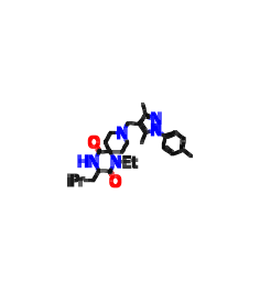 CCN1C(=O)C(CC(C)C)NC(=O)C12CCN(Cc1c(C)nn(-c3ccc(C)cc3)c1C)CC2